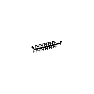 C#CC(F)C(F)(F)C(F)(F)C(F)(F)C(F)(F)C(F)(F)C(F)(F)C(F)(F)C(F)(F)C(F)(F)C(F)(F)C(F)(F)C#CF